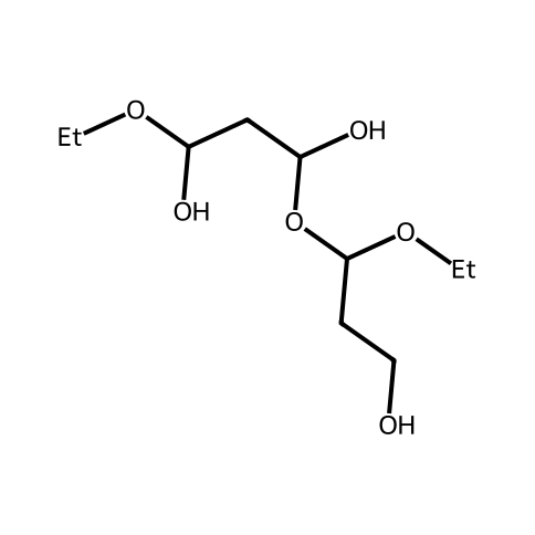 CCOC(O)CC(O)OC(CCO)OCC